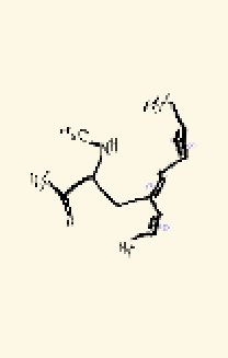 C\C=C/C=C(\C=C/C)CC(NC)C(C)=O